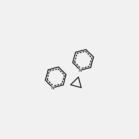 C1CC1.c1ccncc1.c1ccncc1